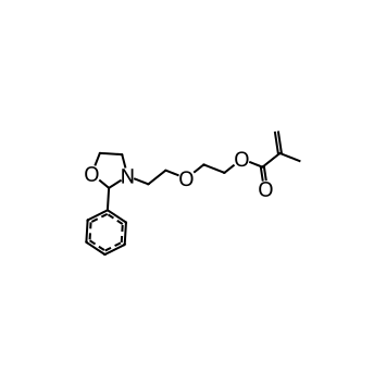 C=C(C)C(=O)OCCOCCN1CCOC1c1ccccc1